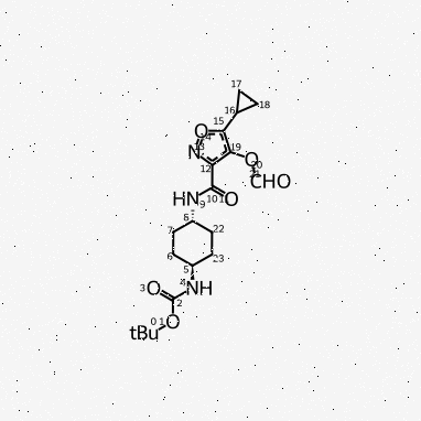 CC(C)(C)OC(=O)N[C@H]1CC[C@H](NC(=O)c2noc(C3CC3)c2OC=O)CC1